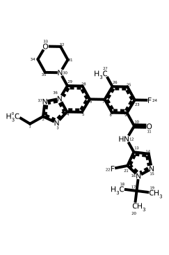 CCc1nc2cc(-c3cc(C(=O)Nc4cnn(C(C)(C)C)c4F)c(F)cc3C)cc(N3CCOCC3)n2n1